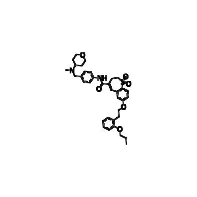 CCCOc1ccccc1CCOc1ccc2c(c1)C=C(C(=O)Nc1ccc(CN(C)C3CCOCC3)cc1)CCS2(=O)=O